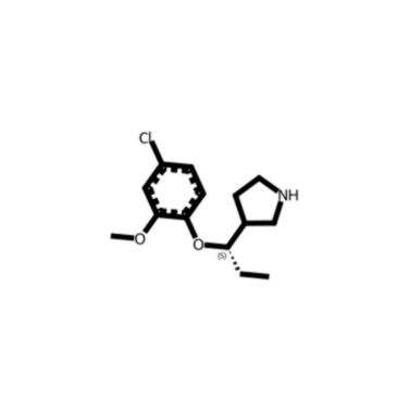 CC[C@H](Oc1ccc(Cl)cc1OC)C1CCNC1